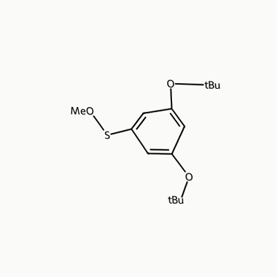 COSc1cc(OC(C)(C)C)cc(OC(C)(C)C)c1